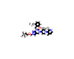 COc1nccc(C)c1N1CCC(N2Cc3cn(COCC[Si](C)(C)C)nc3N(Cc3ccccc3C(F)(F)F)C2=O)CC1